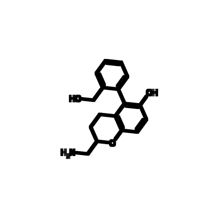 NCC1CCc2c(ccc(O)c2-c2ccccc2CO)O1